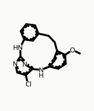 COc1ccc2cc1CCc1cccc(c1)Nc1ncc(Cl)c(n1)N2